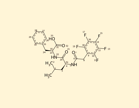 CC(C)C[C@H](NC(=O)Cc1c(F)c(F)c(F)c(F)c1F)C(=O)N[C@@H](Cc1ccccc1)C(=O)O